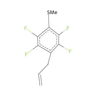 C=CCc1c(F)c(F)c(SC)c(F)c1F